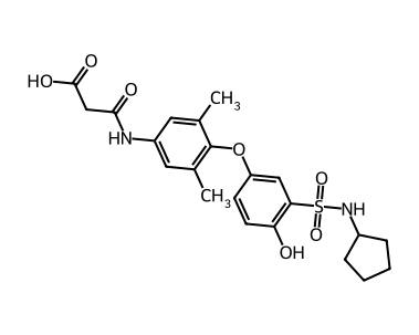 Cc1cc(NC(=O)CC(=O)O)cc(C)c1Oc1ccc(O)c(S(=O)(=O)NC2CCCC2)c1